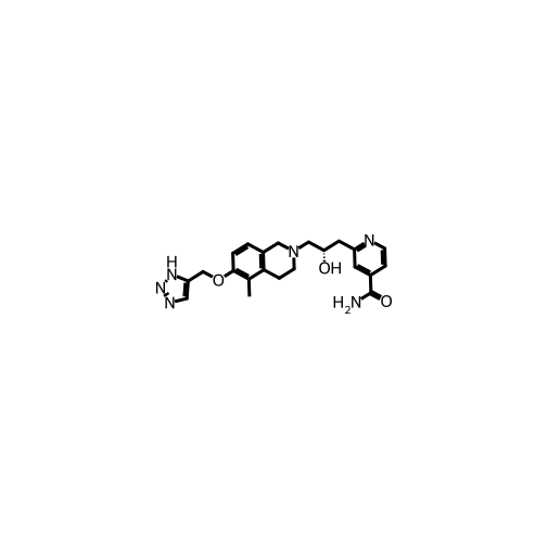 Cc1c(OCc2cnn[nH]2)ccc2c1CCN(C[C@@H](O)Cc1cc(C(N)=O)ccn1)C2